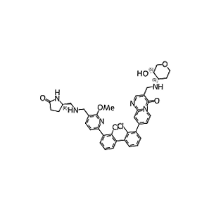 COc1nc(-c2cccc(-c3cccc(-c4ccn5c(=O)c(CN[C@H]6CCOC[C@H]6O)cnc5c4)c3Cl)c2Cl)ccc1CNC[C@H]1CCC(=O)N1